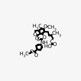 CCOC(=O)c1ccc(NC(=S)Oc2c(C/C=C(\C)CCC(=O)O)c(OC)c(C)c3c2C(=O)OC3)cc1